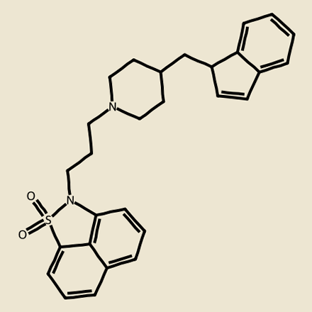 O=S1(=O)c2cccc3cccc(c23)N1CCCN1CCC(CC2C=Cc3ccccc32)CC1